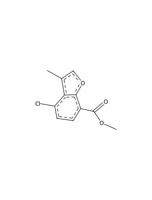 COC(=O)c1ccc(Cl)c2c(C)coc12